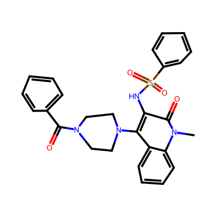 Cn1c(=O)c(NS(=O)(=O)c2ccccc2)c(N2CCN(C(=O)c3ccccc3)CC2)c2ccccc21